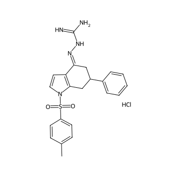 Cc1ccc(S(=O)(=O)n2ccc3c2CC(c2ccccc2)CC3=NNC(=N)N)cc1.Cl